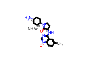 CC(=O)N[C@H]1C[C@H](N)CC[C@@H]1N1CC[C@H](Nc2nc[n+]([O-])c3ccc(C(F)(F)F)cc23)C1=O